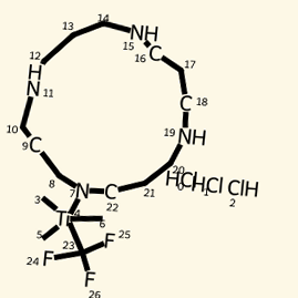 Cl.Cl.Cl.[CH3][Ti]([CH3])([CH3])([N]1CCCNCCCNCCCNCCC1)[C](F)(F)F